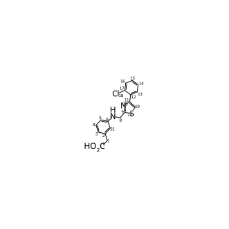 O=C(O)Cc1cccc(NCc2nc(-c3ccccc3Cl)cs2)c1